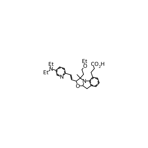 CCOCCC1(C)C(C=Cc2ccc(N(CC)CC)cn2)OC2Cc3cccc(CCC(=O)O)c3N21